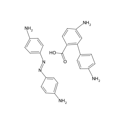 Nc1ccc(-c2cc(N)ccc2C(=O)O)cc1.Nc1ccc(N=Nc2ccc(N)cc2)cc1